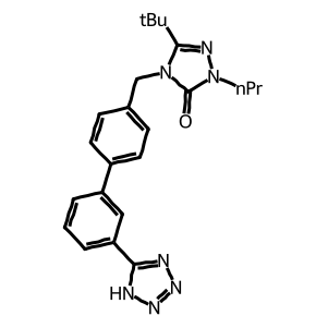 CCCn1nc(C(C)(C)C)n(Cc2ccc(-c3cccc(-c4nnn[nH]4)c3)cc2)c1=O